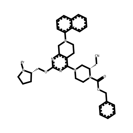 CC(C)N1CCC[C@H]1COc1nc2c(c(N3CCN(C(=O)OCc4ccccc4)[C@@H](CC#N)C3)n1)CCN(c1cccc3ccccc13)C2